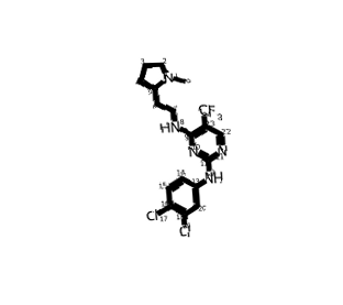 CN1CCCC1CCNc1nc(Nc2ccc(Cl)c(Cl)c2)ncc1C(F)(F)F